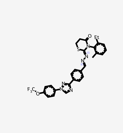 CCc1cccc(C)c1N1C(=O)CCS/C1=N\N=C\c1ccc(-c2ncn(-c3ccc(OC(F)(F)F)cc3)n2)cc1